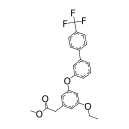 CCOc1cc(CC(=O)OC)cc(Oc2cccc(-c3ccc(C(F)(F)F)cc3)c2)c1